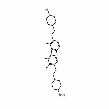 CCCCCC1CCC(COc2cc3c(c(F)c2F)-c2c-3ccc(OCC3CCC(CCC)CC3)c2F)CC1